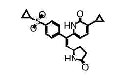 O=C1CC[C@H](C=C(c2ccc(S(=O)(=O)C3CC3)cc2)c2ccc(C3CC3)c(=O)[nH]2)N1